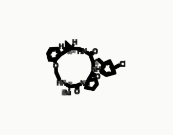 CCC(C)[C@@H]1NCCOc2ccccc2[C@@H]2C[C@@H]2CNC(=O)[C@H](Cc2cccc(Cl)c2)NC(=O)C2(CCCC2)NC1=O